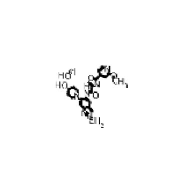 COc1cc(-c2nc(C(=O)Nc3cc4cn(C)nc4cc3N3CCC(O)CC3)co2)ccn1.OCl